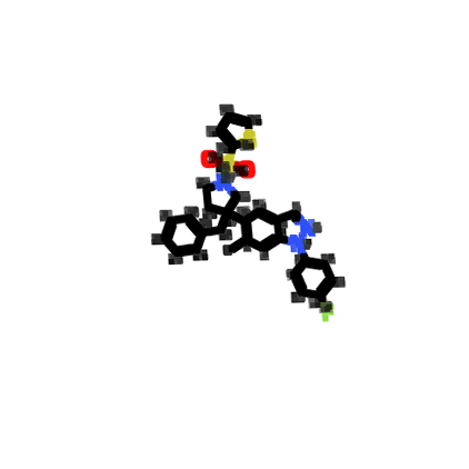 Cc1cc2c(cnn2-c2ccc(F)cc2)cc1C1(Cc2ccccc2)CCN(S(=O)(=O)c2cccs2)C1